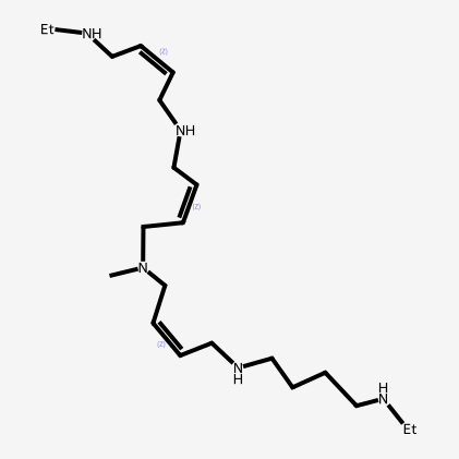 CCNC/C=C\CNC/C=C\CN(C)C/C=C\CNCCCCNCC